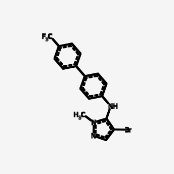 Cn1ncc(Br)c1Nc1ccc(-c2ccc(C(F)(F)F)cc2)cc1